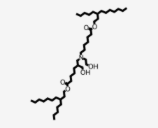 CCCCCCCC(CCCCC)CCOC(=O)CCCCCCN(CCO)CC(CO)CCCCC(=O)OCCC(CCCCC)CCCCCCC